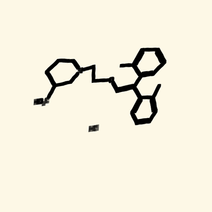 Cc1ccccc1C(=COCCN1CCCC(C(=O)O)C1)c1ccccc1C.Cl